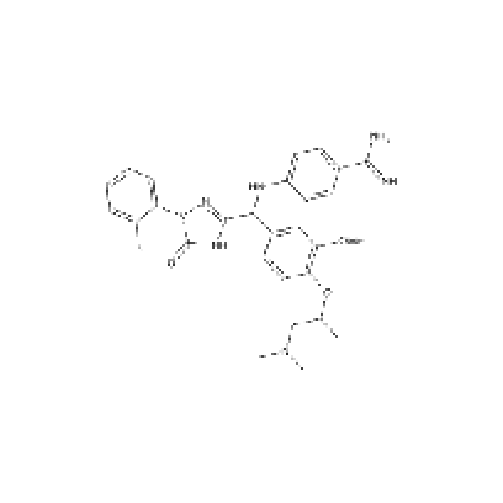 [CH]c1ccccc1-n1nc(C(Nc2ccc(C(=N)N)cc2)c2ccc(OC(C)CN(C)C)c(OC)c2)[nH]c1=O